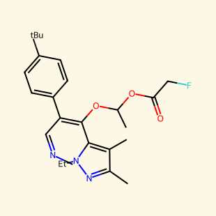 CCn1nc(C)c(C)c1/C(OC(C)OC(=O)CF)=C(\C=N/C)c1ccc(C(C)(C)C)cc1